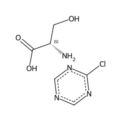 Clc1ncncn1.N[C@@H](CO)C(=O)O